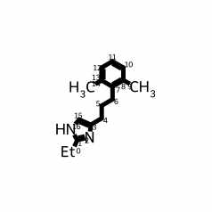 CCc1nc(CCCc2c(C)cccc2C)c[nH]1